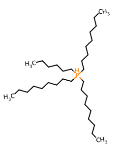 CCCCCCCCC[PH](CCCCCC)(CCCCCCCCC)CCCCCCCCC